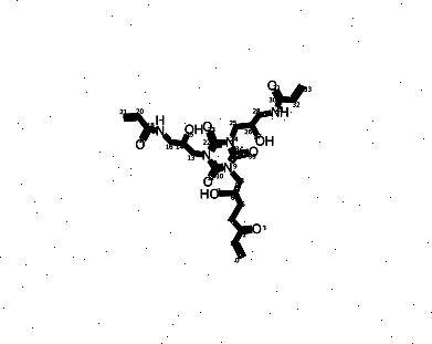 C=CC(=O)CCC(O)Cn1c(=O)n(CC(O)CNC(=O)C=C)c(=O)n(CC(O)CNC(=O)C=C)c1=O